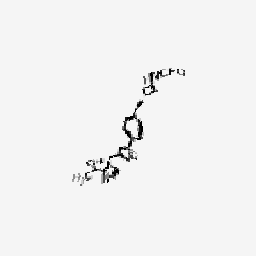 CC(O)c1nccn1Cc1cc(-c2ccc(C#C[C@H]3C[C@H](NC=O)C3)cc2)on1